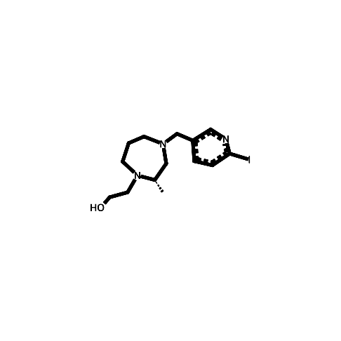 C[C@H]1CN(Cc2ccc(I)nc2)CCCN1CCO